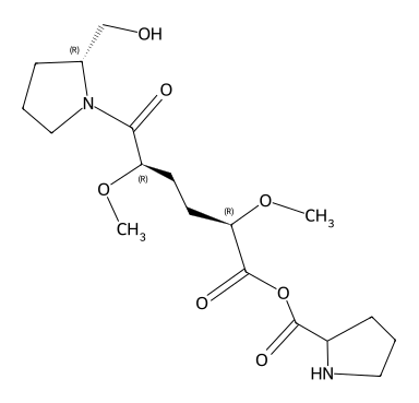 CO[C@H](CC[C@@H](OC)C(=O)N1CCC[C@@H]1CO)C(=O)OC(=O)C1CCCN1